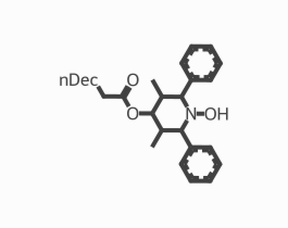 CCCCCCCCCCCC(=O)OC1C(C)C(c2ccccc2)N(O)C(c2ccccc2)C1C